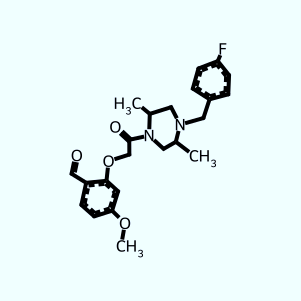 COc1ccc(C=O)c(OCC(=O)N2CC(C)N(Cc3ccc(F)cc3)CC2C)c1